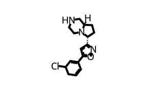 ClC1C=C(c2cc([C@H]3CC[C@H]4CNCCN43)no2)C=CC1